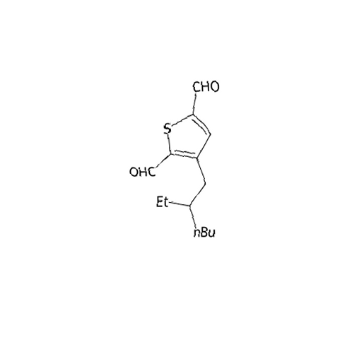 CCCCC(CC)Cc1cc(C=O)sc1C=O